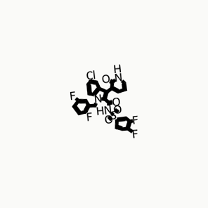 O=C(NS(=O)(=O)c1ccc(F)c(F)c1)c1c(-c2ccc[nH]c2=O)c2cc(Cl)ccc2n1Cc1cc(F)ccc1F